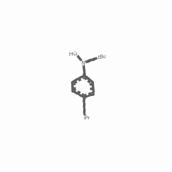 CC(C)c1ccc(N(O)C(C)(C)C)cc1